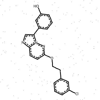 Oc1cccc(-c2cnc3ccc(OCCc4cccc(Cl)c4)nn23)c1